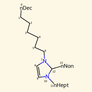 CCCCCCCCCCCCCCCCN1C=CN(CCCCCCC)C1CCCCCCCCC